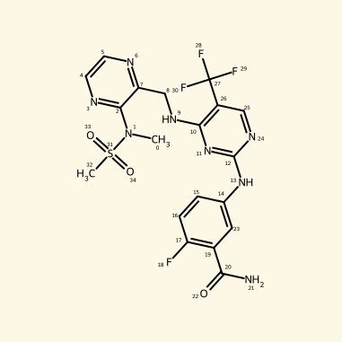 CN(c1nccnc1CNc1nc(Nc2ccc(F)c(C(N)=O)c2)ncc1C(F)(F)F)S(C)(=O)=O